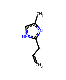 C=C[CH]c1nc(C)c[nH]1